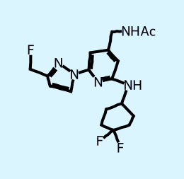 CC(=O)NCc1cc(NC2CCC(F)(F)CC2)nc(-n2ccc(CF)n2)c1